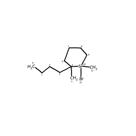 CCCCC1(C)CCCC[Si]1(C)Br